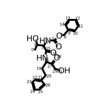 CC(O)C(NC(=O)OCc1ccccc1)C(=O)NC(CCc1ccccc1)C(=O)CO